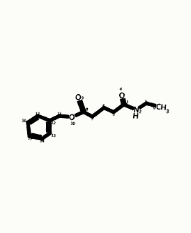 CCNC(=O)CCCC(=O)OCc1ccccc1